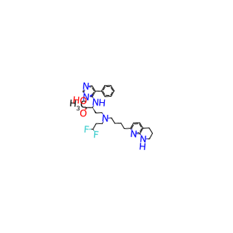 CC(=O)[C@H](CCN(CCCCc1ccc2c(n1)NCCC2)CCC(F)F)Nc1c(-c2ccccc2)cnc[n+]1O